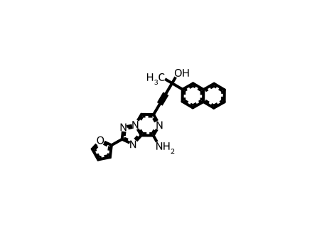 CC(O)(C#Cc1cn2nc(-c3ccco3)nc2c(N)n1)c1ccc2ccccc2c1